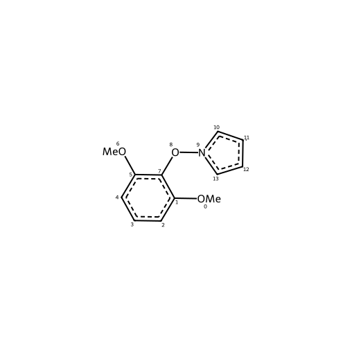 COc1cccc(OC)c1On1c[c]cc1